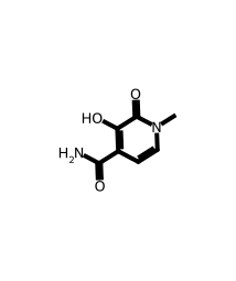 Cn1ccc(C(N)=O)c(O)c1=O